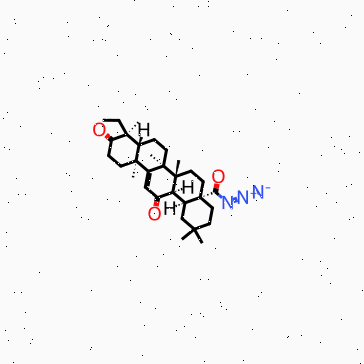 CC[C@]1(C)C(=O)CC[C@]2(C)C3=CC(=O)[C@@H]4[C@@H]5CC(C)(C)CC[C@]5(C(=O)N=[N+]=[N-])CC[C@@]4(C)[C@]3(C)CC[C@@H]12